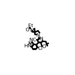 CCC(=O)N1CC2(CCN(c3nc4c(c(-c5c(Cl)ccc6[nH]ncc56)c3C#N)COC(C)(C)C4)C2)C1